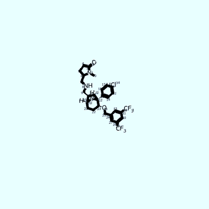 CN1C(=O)CCC1CNC[C@H]1C[C@]2(c3ccccc3)N[C@H]1CC[C@H]2OCc1cc(C(F)(F)F)cc(C(F)(F)F)c1.Cl